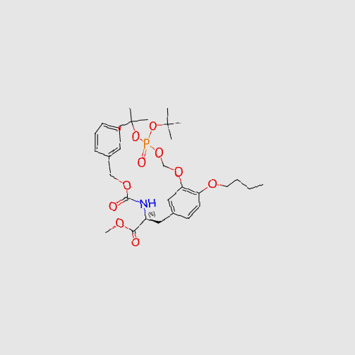 CCCCOc1ccc(C[C@H](NC(=O)OCc2ccccc2)C(=O)OC)cc1OCOP(=O)(OC(C)(C)C)OC(C)(C)C